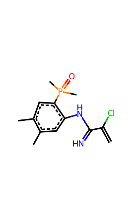 C=C(Cl)C(=N)Nc1cc(C)c(C)cc1P(C)(C)=O